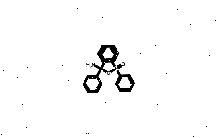 NC(OP(=O)(c1ccccc1)c1ccccc1)(c1ccccc1)c1ccccc1